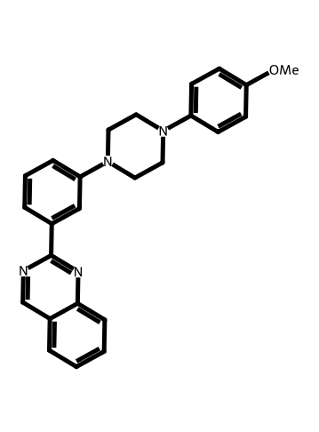 COc1ccc(N2CCN(c3cccc(-c4ncc5ccccc5n4)c3)CC2)cc1